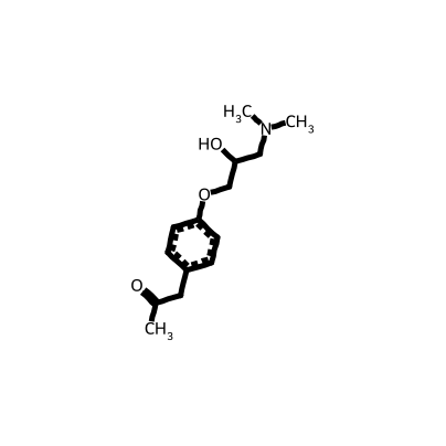 CC(=O)Cc1ccc(OCC(O)CN(C)C)cc1